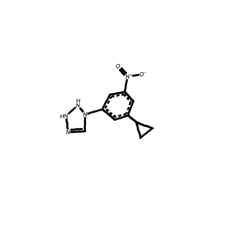 O=[N+]([O-])c1cc(C2CC2)cc(N2C=NNN2)c1